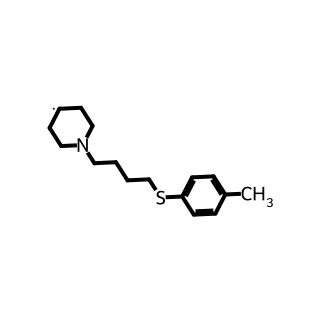 Cc1ccc(SCCCCN2CC[CH]CC2)cc1